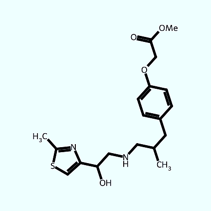 COC(=O)COc1ccc(CC(C)CNCC(O)c2csc(C)n2)cc1